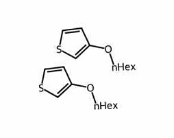 CCCCCCOc1ccsc1.CCCCCCOc1ccsc1